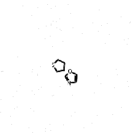 C1CCSC1.c1cocn1